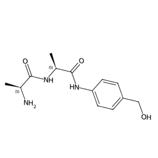 C[C@H](N)C(=O)N[C@@H](C)C(=O)Nc1ccc(CO)cc1